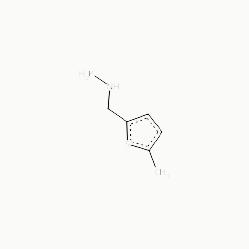 Cc1ccc(CNP)s1